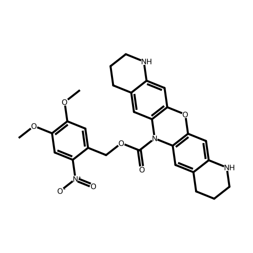 COc1cc(COC(=O)N2c3cc4c(cc3Oc3cc5c(cc32)CCCN5)NCCC4)c([N+](=O)[O-])cc1OC